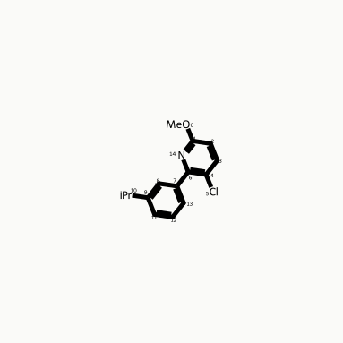 COc1ccc(Cl)c(-c2[c]c(C(C)C)ccc2)n1